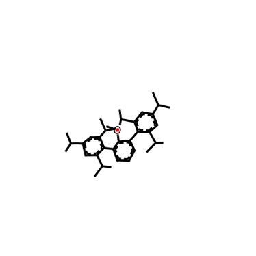 COc1c(-c2c(C(C)C)cc(C(C)C)cc2C(C)C)cccc1-c1c(C(C)C)cc(C(C)C)cc1C(C)C